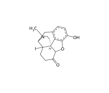 CN1CC[C@]23c4c5ccc(O)c4OC2C(=O)CCC3(I)C1C5